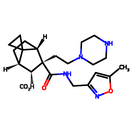 Cc1cc(CNC(=O)[C@@]2(CCN3CCNCC3)[C@H](C(=O)O)[C@H]3CC[C@H]2C32CC2)no1